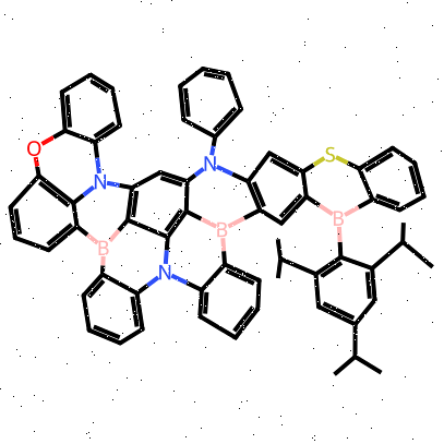 CC(C)c1cc(C(C)C)c(B2c3ccccc3Sc3cc4c(cc32)B2c3ccccc3N3c5ccccc5B5c6cccc7c6N(c6ccccc6O7)c6cc(c2c3c65)N4c2ccccc2)c(C(C)C)c1